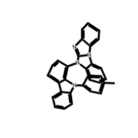 Cc1ccc(-n2c3ccccc3c3cccc(-n4c5ccccc5n5c6ccccc6nc45)c32)cc1